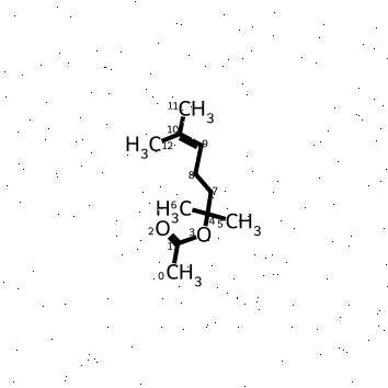 CC(=O)OC(C)(C)CCC=C(C)C